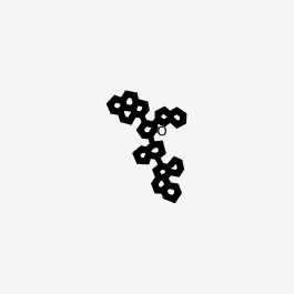 c1ccc2c(c1)ccc1c2oc2c(-c3ccc(-c4cc5ccc6ccccc6c5c5ccccc45)c4ccccc34)ccc(-c3ccc4ccc5cccc6ccc3c4c56)c21